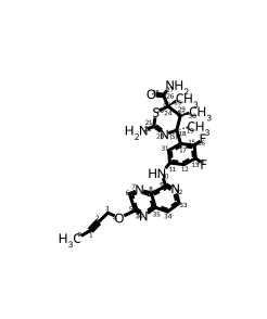 CC#CCOc1cnc2c(Nc3cc(F)c(F)c([C@@]4(C)N=C(N)S[C@](C)(C(N)=O)[C@H]4C)c3)nccc2n1